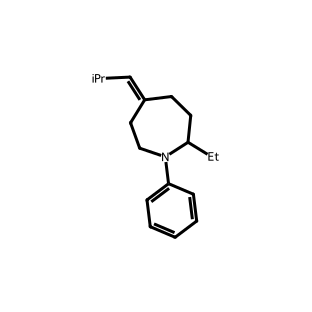 CCC1CC/C(=C/C(C)C)CCN1c1ccccc1